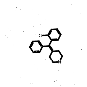 Clc1ccccc1C(=C1CC[N]CC1)c1ccccc1